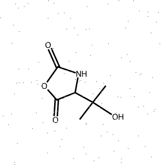 CC(C)(O)C1NC(=O)OC1=O